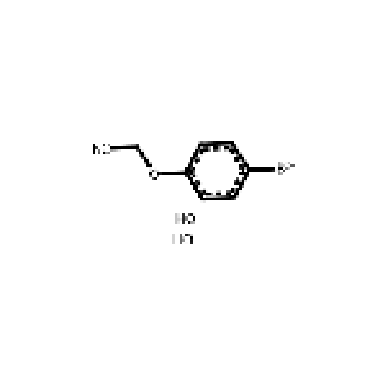 [B+2]c1ccc(OCC#N)cc1.[OH-].[OH-]